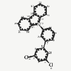 Clc1cc(Cl)cc(-c2cccc(-n3c4ccccc4c4ccccc43)c2)c1